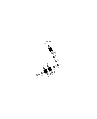 N#[SiH].N#[SiH].N#[SiH].[N-3].[N-3].[N-3].[N-3].[Ti+4].[Ti+4].[Ti+4]